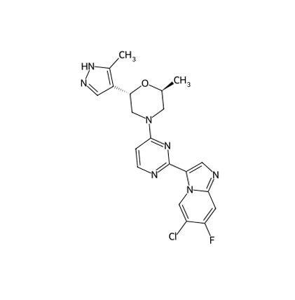 Cc1[nH]ncc1[C@H]1CN(c2ccnc(-c3cnc4cc(F)c(Cl)cn34)n2)C[C@H](C)O1